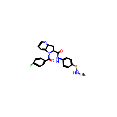 CC(C)(C)NSc1ccc(NC(=O)C2Cc3ncccc3N2C(=O)c2ccc(F)cc2)cc1